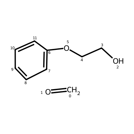 C=O.OCCOc1ccccc1